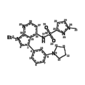 CCn1cc(-c2cccc(N3CCCC3)c2)c2c(NS(=O)(=O)c3ccn(C)n3)ccnc21